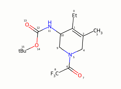 CCC1=C(C)CN(C(=O)C(F)(F)F)CC1NC(=O)OC(C)(C)C